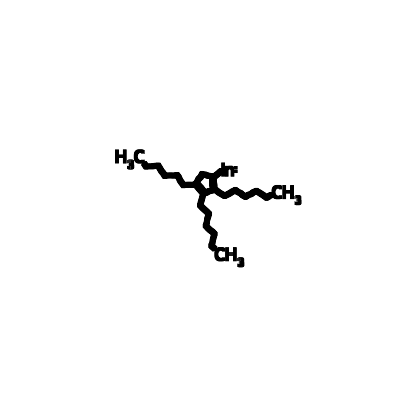 CCCCCCC1=C(CCCCCC)C(CCCCCC)=[C]([In])C1